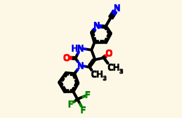 CC(=O)C1=C(C)N(c2cccc(C(F)(F)F)c2)C(=O)NC1c1ccc(C#N)nc1